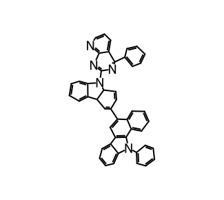 C1=CC2C(C=C1c1cc3c4ccccc4n(-c4ccccc4)c3c3ccccc13)c1ccccc1N2c1nc(-c2ccccc2)c2cccnc2n1